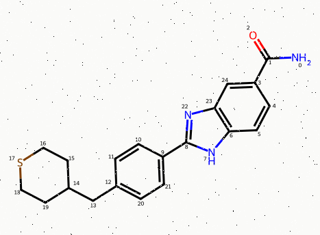 NC(=O)c1ccc2[nH]c(-c3ccc(CC4CCSCC4)cc3)nc2c1